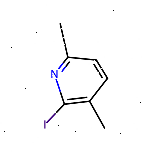 Cc1ccc(C)c(I)n1